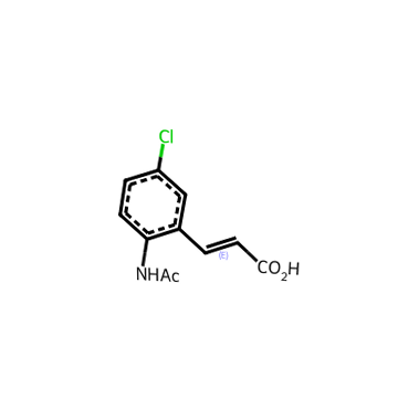 CC(=O)Nc1ccc(Cl)cc1/C=C/C(=O)O